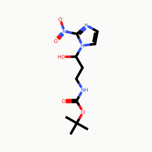 CC(C)(C)OC(=O)NCC[C](O)n1ccnc1[N+](=O)[O-]